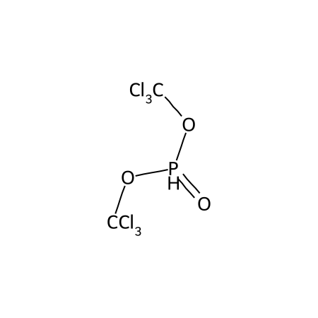 O=[PH](OC(Cl)(Cl)Cl)OC(Cl)(Cl)Cl